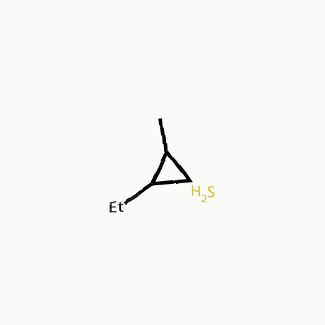 CCC1CC1C.S